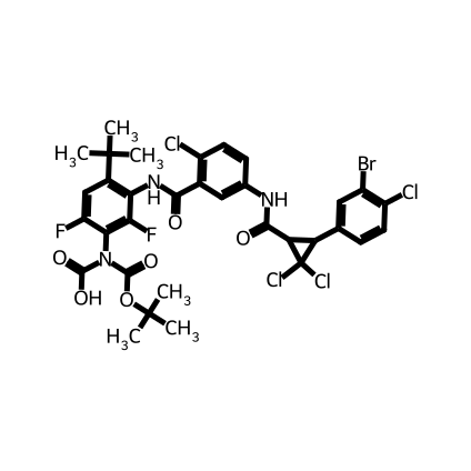 CC(C)(C)OC(=O)N(C(=O)O)c1c(F)cc(C(C)(C)C)c(NC(=O)c2cc(NC(=O)C3C(c4ccc(Cl)c(Br)c4)C3(Cl)Cl)ccc2Cl)c1F